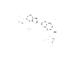 COc1cc(C(=O)N2C[C@H]3CC[C@@H]2[C@H](N)C3)cc2nc(-c3cc4ccc(N(C(F)F)S(C)(=O)=O)nc4n3CC3CC3)c(C)n12